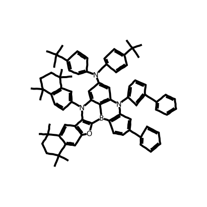 CC(C)(C)c1ccc(N(c2ccc(C(C)(C)C)cc2)c2cc3c4c(c2)N(c2ccc5c(c2)C(C)(C)CCC5(C)C)c2c(oc5cc6c(cc25)C(C)(C)CCC6(C)C)B4c2ccc(-c4ccccc4)cc2N3c2cccc(-c3ccccc3)c2)cc1